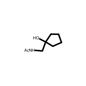 CC(=O)NCC1(O)CCCC1